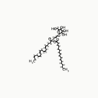 CC/C=C\C/C=C\C/C=C\C/C=C\C/C=C\CCCC(=O)OCC(COC1OC(CO)C(O)C(O)C1O)OC(=O)CCCCCCCCCCCCCCC